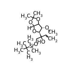 C=CC(O)(CO[Si](C)(C)C(C)(C)C)[C@H]1O[C@@H]2OC(C)(C)OC2[C@@H]1OC